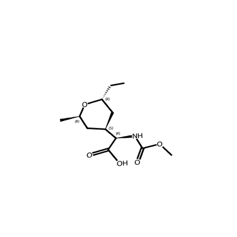 CC[C@@H]1C[C@@H]([C@@H](NC(=O)OC)C(=O)O)C[C@@H](C)O1